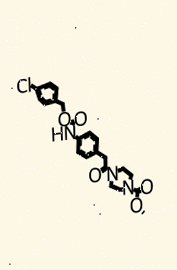 COC(=O)N1CCN(C(=O)Cc2ccc(NC(=O)OCc3ccc(Cl)cc3)cc2)CC1